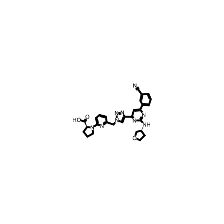 N#Cc1cccc(-c2cc(-c3cn(Cc4cccc(N5CCC[C@H]5C(=O)O)n4)nn3)nc(N[C@@H]3CCOC3)n2)c1